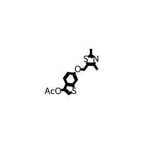 CC(=O)Oc1csc2cc(OCc3sc(C)nc3C)ccc12